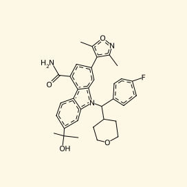 Cc1noc(C)c1-c1cc(C(N)=O)c2c3ccc(C(C)(C)O)cc3n(C(c3ccc(F)cc3)C3CCOCC3)c2c1